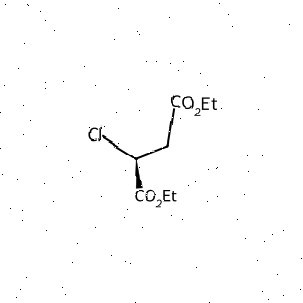 CCOC(=O)C[C@H](Cl)C(=O)OCC